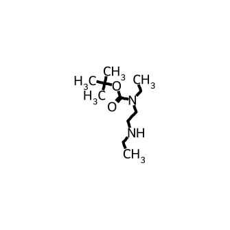 CCNCCN(CC)C(=O)OC(C)(C)C